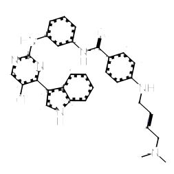 CN(C)C/C=C/CNc1ccc(C(=O)Nc2cccc(Nc3ncc(Cl)c(-c4c[nH]c5ccccc45)n3)c2)cc1